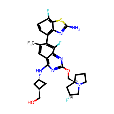 Nc1nc2c(-c3c(C(F)(F)F)cc4c(N[C@H]5C[C@H](CO)C5)nc(OC[C@@]56CCCN5C[C@H](F)C6)nc4c3F)ccc(F)c2s1